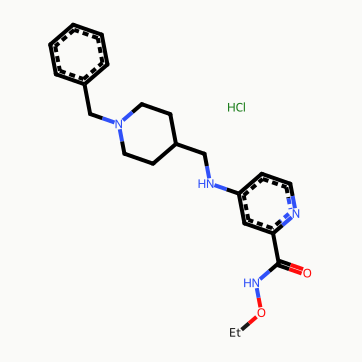 CCONC(=O)c1cc(NCC2CCN(Cc3ccccc3)CC2)ccn1.Cl